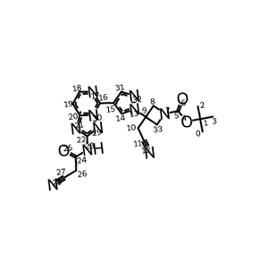 CC(C)(C)OC(=O)N1CC(CC#N)(n2cc(-c3nccc4nc(NC(=O)CC#N)nn34)cn2)C1